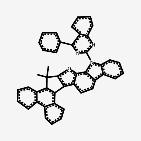 CC1(C)c2oc3c(ccc4c5ccccc5n(-c5nc(-c6ccccc6)c6ccccc6n5)c43)c2-c2c1c1ccccc1c1ccccc21